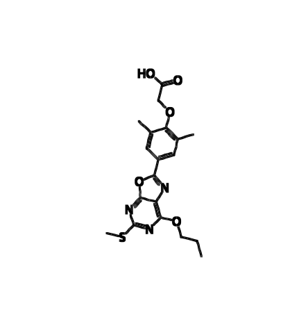 CCCOc1nc(SC)nc2oc(-c3cc(C)c(OCC(=O)O)c(C)c3)nc12